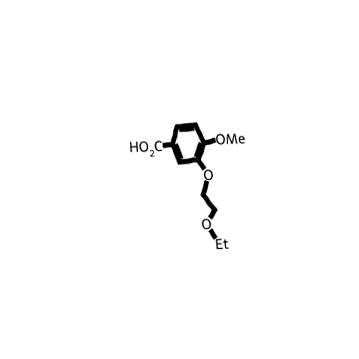 CCOCCOc1cc(C(=O)O)ccc1OC